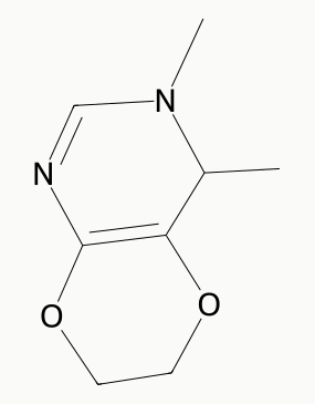 CC1C2=C(N=CN1C)OCCO2